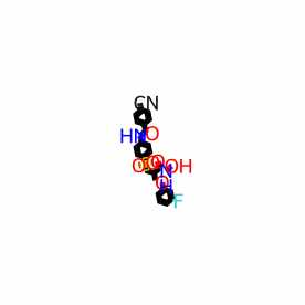 N#Cc1ccc(C(=O)Nc2ccc(S(=O)(=O)CC(COc3cccc(F)c3)C(=O)NO)cc2)cc1